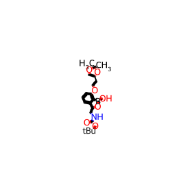 CC(C)(C)OC(=O)NCC1OB(O)c2c(OCC[C@H]3COC(C)(C)O3)cccc21